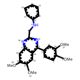 COc1ccc(-c2nc(CNc3ccccc3)nc3cc(OC)c(OC)cc23)cc1OC